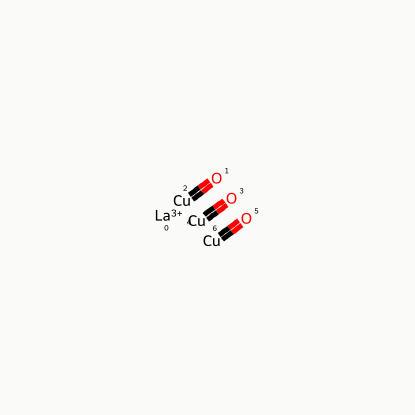 [La+3].[O]=[Cu-].[O]=[Cu-].[O]=[Cu-]